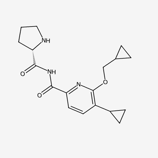 O=C(NC(=O)[C@@H]1CCCN1)c1ccc(C2CC2)c(OCC2CC2)n1